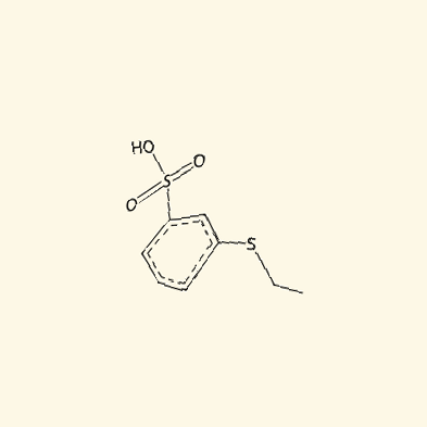 CCSc1cccc(S(=O)(=O)O)c1